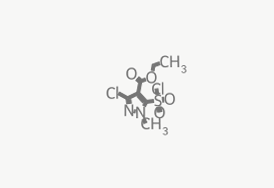 CCOC(=O)c1c(Cl)nn(C)c1S(=O)(=O)Cl